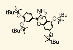 CC(C)(C)[Si](C)(C)Oc1cc2c(c(O[Si](C)(C)C(C)(C)C)c1)C[C@H](N)[C@@H](c1ccc(O[Si](C)(C)C(C)(C)C)c(O[Si](C)(C)C(C)(C)C)c1)O2